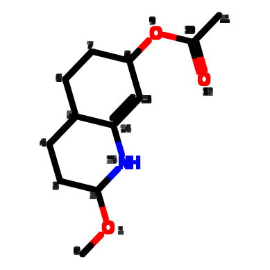 COC1CCC2CCC(OC(C)=O)C=C2N1